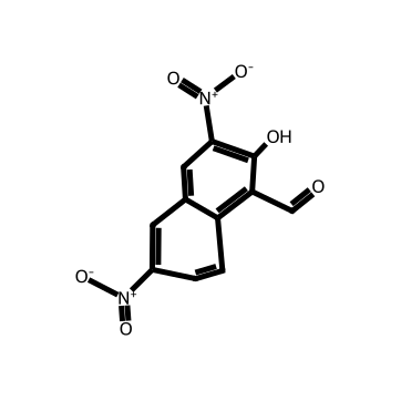 O=Cc1c(O)c([N+](=O)[O-])cc2cc([N+](=O)[O-])ccc12